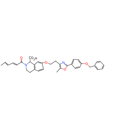 CC=CC=CC(=O)N1CCc2ccc(OCCc3nc(-c4ccc(OCc5ccccc5)cc4)oc3C)cc2C1C(=O)O